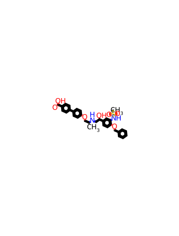 C[C@H](COc1ccc(-c2ccc(C(=O)O)cc2)cc1)NC[C@@H](O)c1ccc(OCc2ccccc2)c(NS(C)(=O)=O)c1